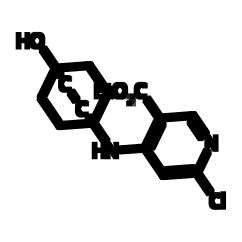 CCOC(=O)c1cnc(Cl)cc1NC12CCC(O)(CC1)CC2